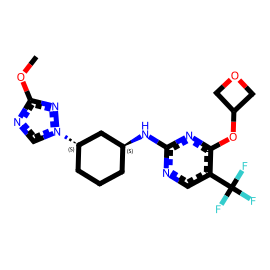 COc1ncn([C@H]2CCC[C@H](Nc3ncc(C(F)(F)F)c(OC4COC4)n3)C2)n1